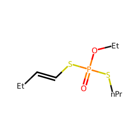 CCC=CSP(=O)(OCC)SCCC